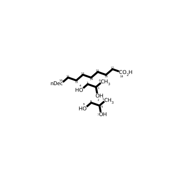 CC(O)CO.CC(O)CO.CCCCCCCCCCCCCCCCCC(=O)O